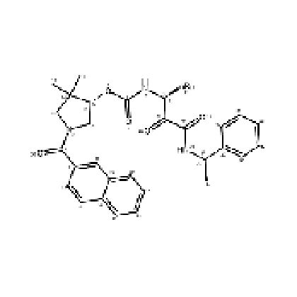 CCCC[C@H](NC(=O)O[C@@H]1CN(C(=O)c2ccc3ccccc3c2)CC1(C)C)C(=O)C(=O)N[C@H](C)c1ccccc1